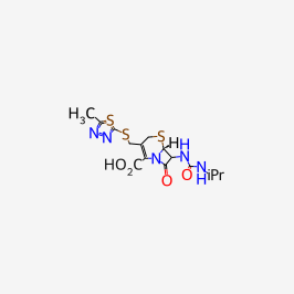 Cc1nnc(SCC2=C(C(=O)O)N3C(=O)C(NC(=O)NC(C)C)[C@H]3SC2)s1